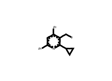 CC(C)c1cc(C(C)C)c(CF)c(C2CC2)n1